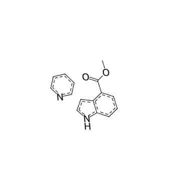 COC(=O)c1cccc2[nH]ccc12.c1ccncc1